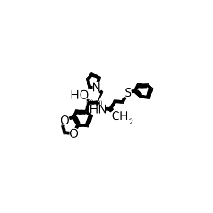 C=C(CCSc1ccccc1)N[C@H](CN1CCCC1)[C@H](O)c1ccc2c(c1)OCCO2